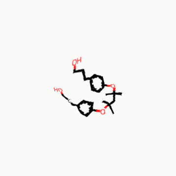 CC(C)(CC(C)(C)Oc1ccc(CCCO)cc1)Oc1ccc(CCCO)cc1